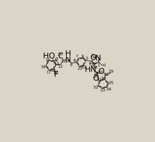 Cc1noc(-c2ccc(CNC(Cc3ccccc3F)C(=O)O)cc2)c1NC(=O)OC(C)c1ccccc1